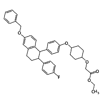 CCOC(=O)COC1CCC(Oc2ccc(C3c4ccc(OCc5ccccc5)cc4CCC3c3ccc(F)cc3)cc2)CC1